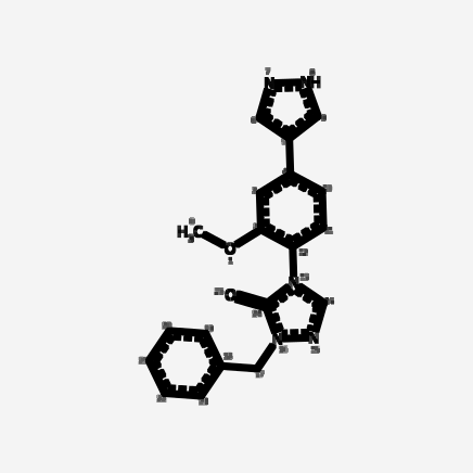 COc1cc(-c2cn[nH]c2)ccc1-n1cnn(Cc2ccccc2)c1=O